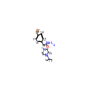 CC(C)N1CCN(C[C@@H](C(N)=O)c2ccc(Br)cc2)CC1